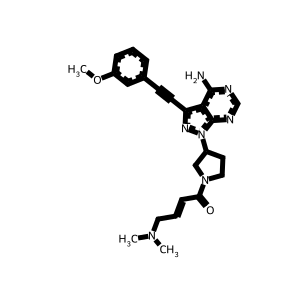 COc1cccc(C#Cc2nn(C3CCN(C(=O)C=CCN(C)C)C3)c3ncnc(N)c23)c1